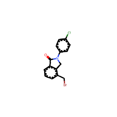 O=C1c2cccc(CBr)c2CN1c1ccc(Cl)cc1